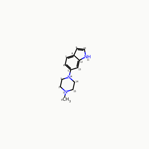 CN1CCN(c2ccc3cc[nH]c3c2)CC1